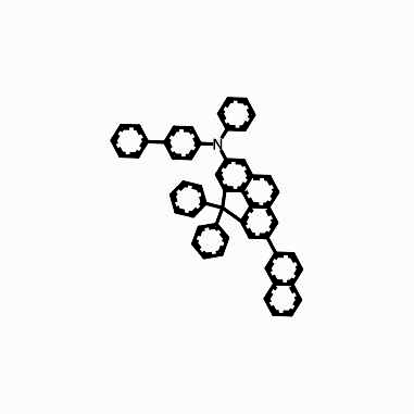 c1ccc(-c2ccc(N(c3ccccc3)c3cc4c5c(ccc6cc(-c7ccc8ccccc8c7)cc(c65)C4(c4ccccc4)c4ccccc4)c3)cc2)cc1